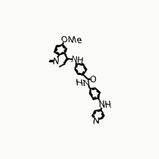 C=Nc1ccc(OC)cc1/C(=C\C)Nc1ccc(C(=O)Nc2ccc(Nc3ccncc3)cc2)cc1